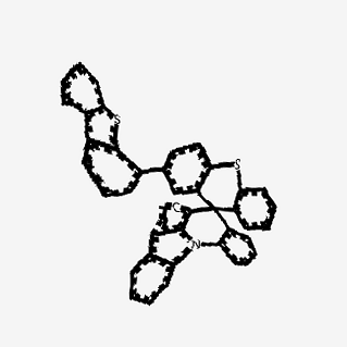 c1ccc2c(c1)Sc1ccc(-c3cccc4c3sc3ccccc34)cc1C21c2ccccc2-n2c3ccccc3c3cccc1c32